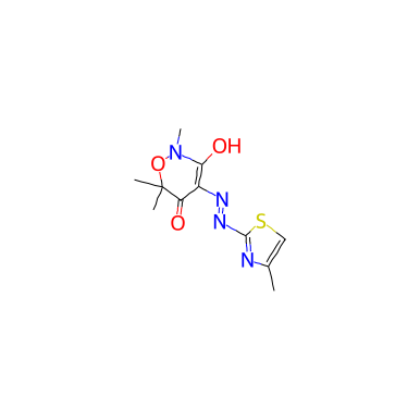 Cc1csc(N=NC2=C(O)N(C)OC(C)(C)C2=O)n1